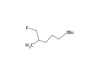 CC(CF)CCCC(C)(C)C